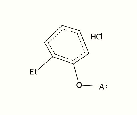 CCc1ccccc1[O][Al].Cl